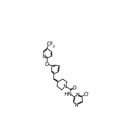 O=C(Nc1cncc(Cl)n1)N1CCC(=Cc2cccc(Oc3ccc(C(F)(F)F)cn3)c2)CC1